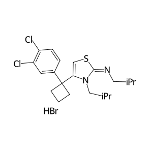 Br.CC(C)CN=c1scc(C2(c3ccc(Cl)c(Cl)c3)CCC2)n1CC(C)C